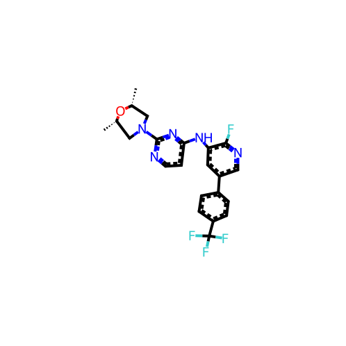 C[C@@H]1CN(c2nccc(Nc3cc(-c4ccc(C(F)(F)F)cc4)cnc3F)n2)C[C@H](C)O1